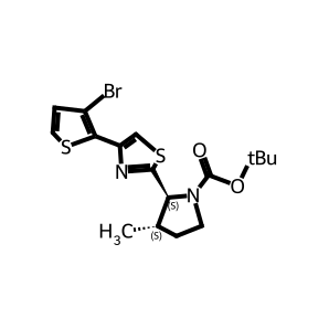 C[C@H]1CCN(C(=O)OC(C)(C)C)[C@@H]1c1nc(-c2sccc2Br)cs1